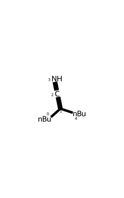 CCCCC(=C=N)CCCC